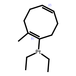 C[CH2][Pt]([CH2]C)/[C]1=C(\C)CC/C=C\CC1